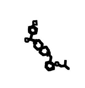 CC(C)COc1ccccc1CN1CCC2(CC1)CCN(C(=O)c1ccc(Cl)cc1)CC2